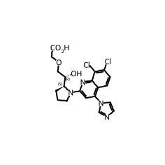 O=C(O)COC[C@H](O)[C@@H]1CCCN1c1cc(-n2ccnc2)c2ccc(Cl)c(Cl)c2n1